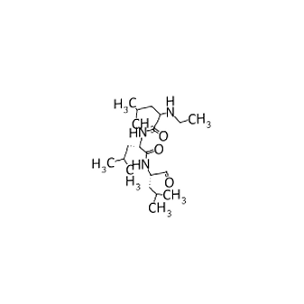 CCNC(CC(C)C)C(=O)N[C@@H](CC(C)C)C(=O)N[C@H](C=O)CC(C)C